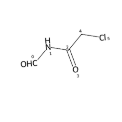 O=CNC(=O)CCl